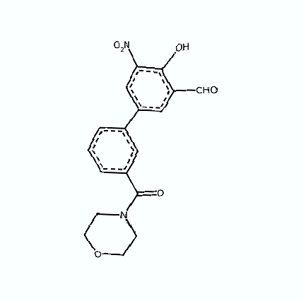 O=Cc1cc(-c2cccc(C(=O)N3CCOCC3)c2)cc([N+](=O)[O-])c1O